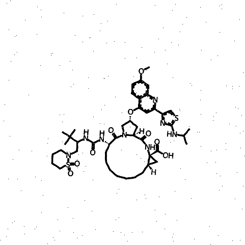 COc1ccc2c(O[C@@H]3C[C@H]4C(=O)N[C@]5(C(=O)O)C[C@@H]5CCCCCCC[C@H](NC(=O)NC(CN5CCCCS5(=O)=O)C(C)(C)C)C(=O)N4C3)cc(-c3csc(NC(C)C)n3)nc2c1